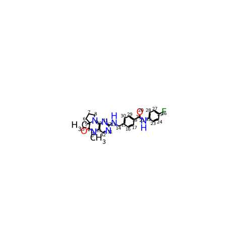 CN1C(=O)C2(C)CCCN2c2nc(NCc3ccc(C(=O)Nc4ccc(F)cc4)cc3)ncc21